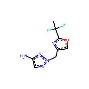 CC(F)(F)c1nc(Cn2ncc(N)n2)co1